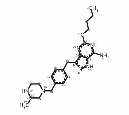 CCCCOc1nc(N)c2[nH]nc(Cc3ccc(CN4CCN[C@H](C)C4)cc3)c2n1